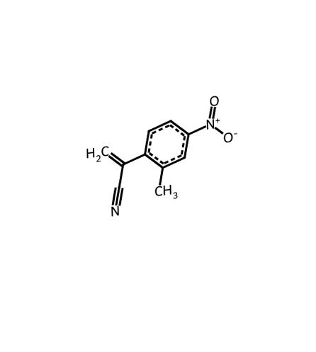 C=C(C#N)c1ccc([N+](=O)[O-])cc1C